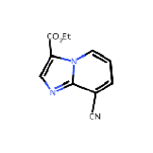 CCOC(=O)c1cnc2c(C#N)cccn12